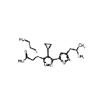 CC(C)Cc1cc(-c2onc([C@@H](CCCO)CC(=O)O)c2C2CC2)on1